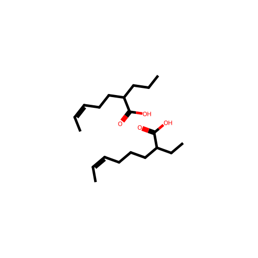 C/C=C\CCC(CCC)C(=O)O.C/C=C\CCCC(CC)C(=O)O